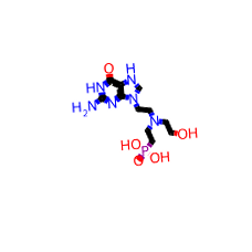 Nc1nc2c(c(=O)[nH]1)NCN2CCN(CCO)CCP(=O)(O)O